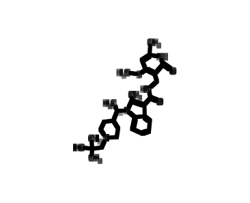 CSc1cc(C)[nH]c(=O)c1CNC(=O)c1c(C)n([C@H](C)C2CCN(CC(C)(C)O)CC2)c2ccccc12